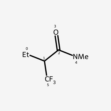 CCC(C(=O)NC)C(F)(F)F